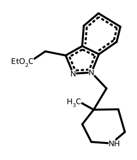 CCOC(=O)Cc1nn(CC2(C)CCNCC2)c2ccccc12